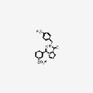 O=C(NCc1ccc(C(F)(F)F)cc1)[C@H]1CCCN1C(=O)C1CCCN(C(=O)O)C1